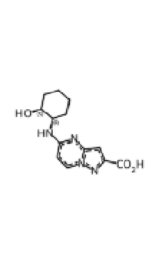 O=C(O)c1cc2nc(N[C@@H]3CCCC[C@@H]3O)ccn2n1